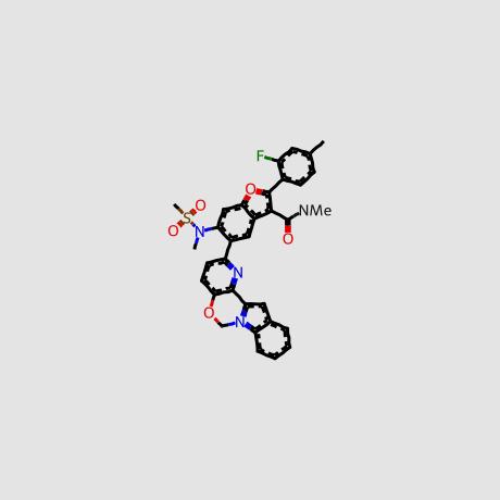 CNC(=O)c1c(-c2ccc(C)cc2F)oc2cc(N(C)S(C)(=O)=O)c(-c3ccc4c(n3)-c3cc5ccccc5n3CO4)cc12